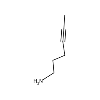 CC#CCCCN